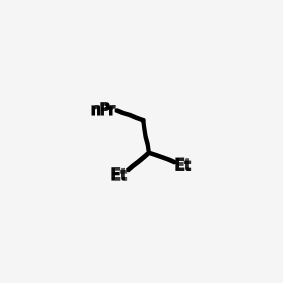 CCCCC(CC)CC